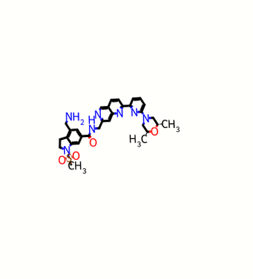 C[C@@H]1CN(c2cccc(-c3ccc4cnc(CNC(=O)c5cc(CN)c6c(c5)N(S(C)(=O)=O)CC6)cc4n3)n2)C[C@H](C)O1